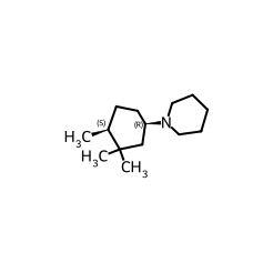 C[C@H]1CC[C@@H](N2CCCCC2)CC1(C)C